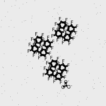 Fc1c(F)c(F)c([N+](c2c(F)c(F)c(F)c(F)c2F)(c2c(F)c(F)c(F)c(F)c2F)c2c(F)c(F)c(F)c(F)c2F)c(F)c1F.Fc1c(F)c(F)c([N+](c2c(F)c(F)c(F)c(F)c2F)(c2c(F)c(F)c(F)c(F)c2F)c2c(F)c(F)c(F)c(F)c2F)c(F)c1F.Fc1c(F)c(F)c([N+](c2c(F)c(F)c(F)c(F)c2F)(c2c(F)c(F)c(F)c(F)c2F)c2c(F)c(F)c(F)c(F)c2F)c(F)c1F.[O-]B([O-])[O-]